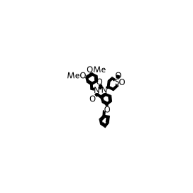 COc1ccc(Cn2c(=O)c3cc(OCc4ccccc4)ccc3n(C3CCS(=O)(=O)CC3)c2=O)cc1OC